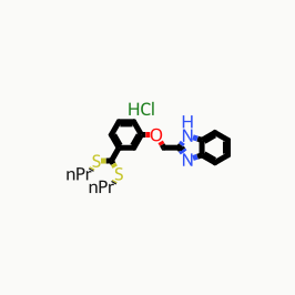 CCCSC(SCCC)c1cccc(OCc2nc3ccccc3[nH]2)c1.Cl